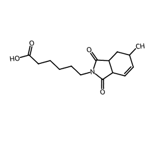 CC1C=CC2C(=O)N(CCCCCC(=O)O)C(=O)C2C1